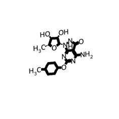 CC1CCC(Oc2nc(N)c3c(=O)[nH]n([C@@H]4O[C@H](C)[C@@H](O)[C@H]4O)c3n2)CC1